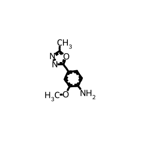 COc1cc(-c2nnc(C)o2)ccc1N